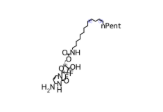 CCCCC/C=C\C/C=C\CCCCCCCCNC(=O)OC[C@H]1O[C@@H](N2C=CC(N)NC2=O)C(F)(F)[C@@H]1O